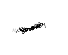 CC(C)COC(=O)N1CCC(COc2ccc(-c3ccc(S(C)(=O)=O)cn3)cc2)CC1